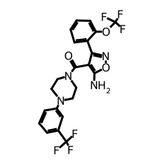 Nc1onc(-c2ccccc2OC(F)(F)F)c1C(=O)N1CCN(c2cccc(C(F)(F)F)c2)CC1